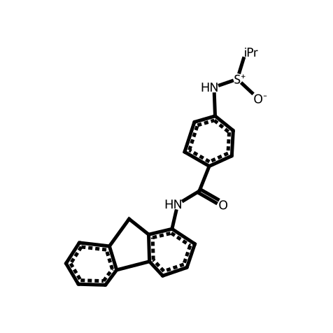 CC(C)[S+]([O-])Nc1ccc(C(=O)Nc2cccc3c2Cc2ccccc2-3)cc1